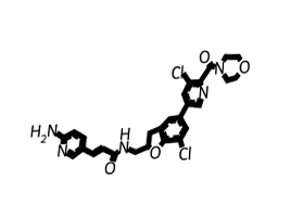 Nc1ccc(C=CC(=O)NCC2Cc3cc(-c4cnc(C(=O)N5CCOCC5)c(Cl)c4)cc(Cl)c3O2)cn1